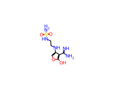 N=C(N)c1c(NCCNS(N)(=O)=O)coc1O